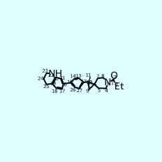 CCC(=O)N1CCC2(CC1)C[C@]2(C)c1ccc(-c2ccc3c(c2)NCCC3)cc1